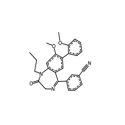 CCCN1C(=O)CN=C(c2cccc(C#N)c2)c2cc(-c3ccccc3OC)c(OC)cc21